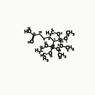 CO[Si](OC)(OC)C(CCCC(=O)O)[Si](OC)(OC)OC